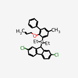 C=CCOc1c(-c2ccccc2)cc(C)cc1[Si](CC)(CC)C1c2cc(Cl)ccc2-c2ccc(Cl)cc21